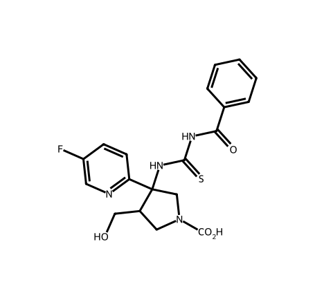 O=C(NC(=S)NC1(c2ccc(F)cn2)CN(C(=O)O)CC1CO)c1ccccc1